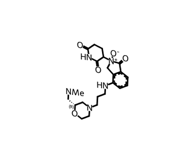 CNC[C@@H]1CN(CCCNc2cccc3c2C[N+]([O-])(C2CCC(=O)NC2=O)C3=O)CCO1